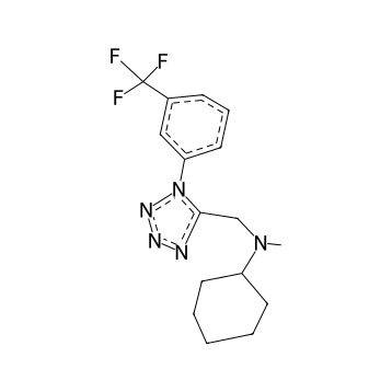 CN(Cc1nnnn1-c1cccc(C(F)(F)F)c1)C1CCCCC1